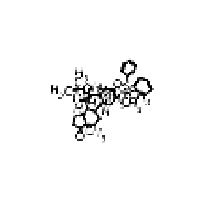 CC1(C)O[C@H]2[C@H](O1)C1[C@H](CC[C@]3(C)C(=O)CC[C@@H]13)[C@@]1(C)CC[C@H](O[Si](c3ccccc3)(c3ccccc3)C(C)(C)C)C[C@H]21